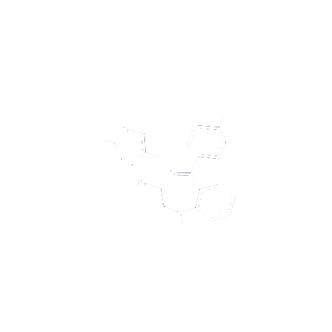 O=C1Nc2ccccc2C(c2ccc(Br)cc2)=NC1Nc1c(F)c(F)nc(F)c1F